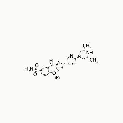 CC(C)Oc1ccc(S(N)(=O)=O)cc1Nc1nc(-c2ccc(N3C[C@@H](C)N[C@@H](C)C3)nc2)cs1